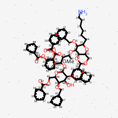 COC(OC1C(OCc2ccccc2)C(CCCCCCN)OC2COC(c3ccccc3)OC21)C(OC(=O)c1ccccc1)C(OC1OC(COC(=O)c2ccccc2)C(OCc2ccccc2)C(O)C1OCc1ccccc1)C(C)[C@@H](COC(=O)c1ccccc1)OC(=O)c1ccccc1